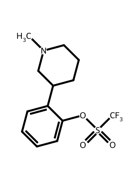 CN1CCCC(c2ccccc2OS(=O)(=O)C(F)(F)F)C1